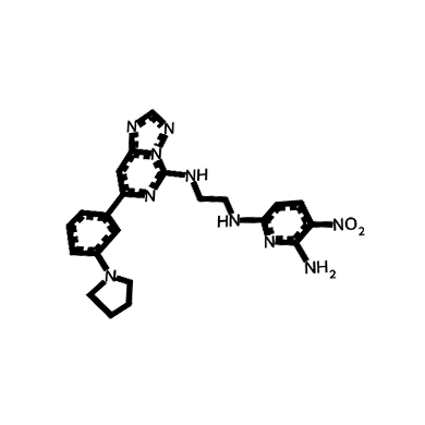 Nc1nc(NCCNc2nc(-c3cccc(N4CCCC4)c3)cc3ncnn23)ccc1[N+](=O)[O-]